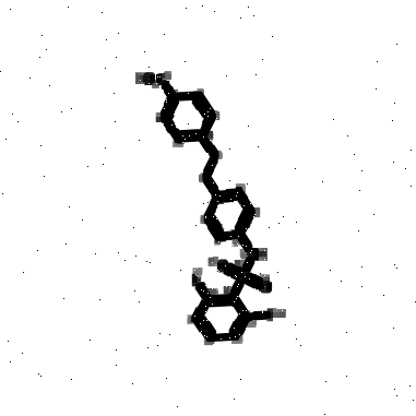 O=C(O)c1ccc(CCc2ccc(NS(=O)(=O)c3c(F)cccc3F)cc2)cc1